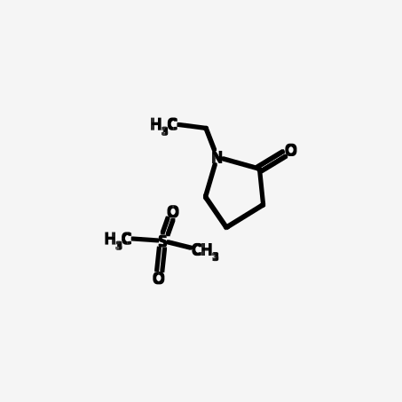 CCN1CCCC1=O.CS(C)(=O)=O